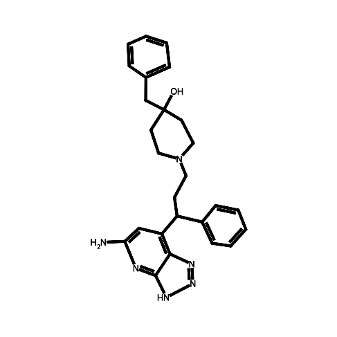 Nc1cc(C(CCN2CCC(O)(Cc3ccccc3)CC2)c2ccccc2)c2nn[nH]c2n1